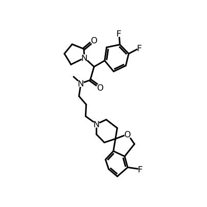 CN(CCCN1CCC2(CC1)OCc1c(F)cccc12)C(=O)C(c1ccc(F)c(F)c1)N1CCCC1=O